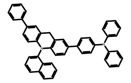 c1ccc(-c2ccc3c(c2)Cc2cc(-c4ccc(N(c5ccccc5)c5ccccc5)cc4)ccc2N3c2cccc3ccccc23)cc1